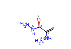 C=C(NN)C(=O)NN